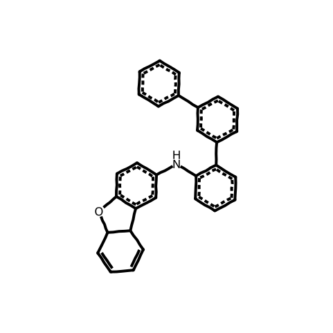 C1=CC2Oc3ccc(Nc4ccccc4-c4cccc(-c5ccccc5)c4)cc3C2C=C1